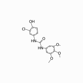 COc1cc(NC(=O)Nc2ccc(O)c(Cl)c2)cc(OC)c1OC